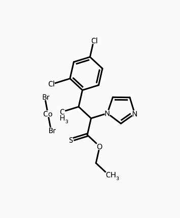 CCOC(=S)C(C(C)c1ccc(Cl)cc1Cl)n1ccnc1.[Br][Co][Br]